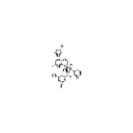 Cc1cc(-n2cc(F)cn2)c2cccc(OCc3c(Cl)cc(F)cc3[C@H](C)NC(=O)c3cccnc3)c2n1